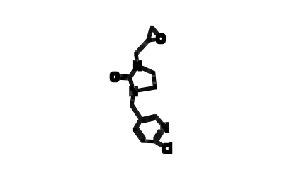 O=C1N(Cc2ccc(Cl)nc2)CCN1CC1CO1